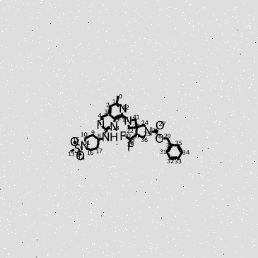 Cc1cc2cnc(NC3CCN(S(C)(=O)=O)CC3)nc2c(N2CC3(CN(C(=O)OCc4ccccc4)CC3C(F)F)C2)n1